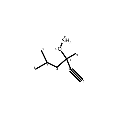 C#CC(C)(CC(C)C)O[SiH3]